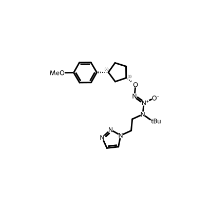 COc1ccc([C@@H]2CC[C@H](ON=[N+]([O-])N(CCn3ccnn3)C(C)(C)C)C2)cc1